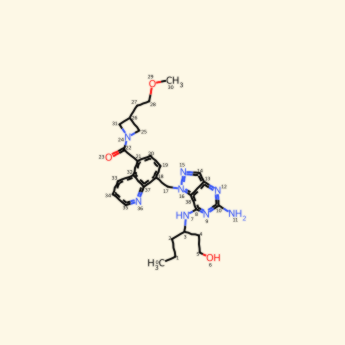 CCCC(CCO)Nc1nc(N)nc2cnn(Cc3ccc(C(=O)N4CC(CCOC)C4)c4cccnc34)c12